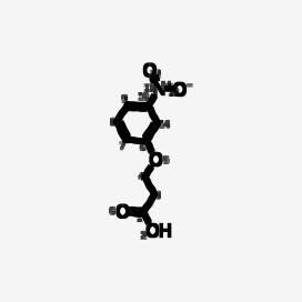 O=C(O)CCOc1cccc([N+](=O)[O-])c1